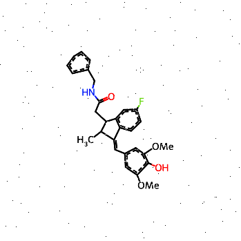 COc1cc(/C=C2\c3ccc(F)cc3C(CC(=O)NCc3ccccc3)C2C)cc(OC)c1O